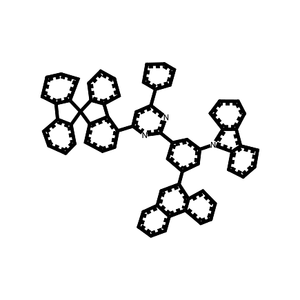 c1ccc(-c2cc(-c3cccc4c3-c3ccccc3C43c4ccccc4-c4ccccc43)nc(-c3cc(-c4cc5ccccc5c5ccccc45)cc(-n4c5ccccc5c5ccccc54)c3)n2)cc1